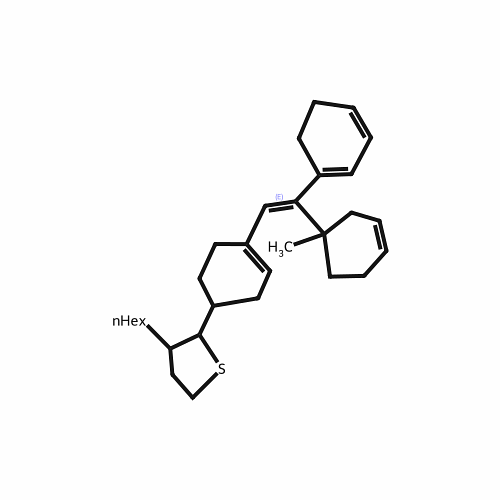 CCCCCCC1CCSC1C1CC=C(/C=C(/C2=CC=CCC2)C2(C)CC=CCC2)CC1